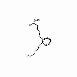 CCCCCCCCCCC(O)/C=C/C=C/c1ccccc1CCCCC(=O)O